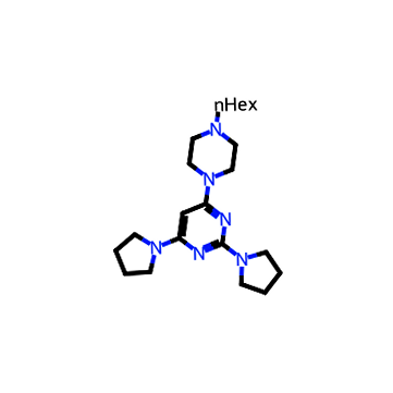 CCCCCCN1CCN(c2cc(N3CCCC3)nc(N3CCCC3)n2)CC1